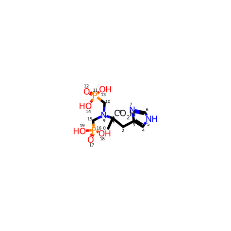 C[C@](Cc1c[nH]cn1)(C(=O)O)N(CP(=O)(O)O)CP(=O)(O)O